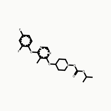 Cc1c(Oc2ccc(F)cc2F)ncnc1OC1CCN(OC(=O)OC(C)C)CC1